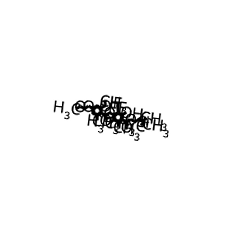 COCOc1cc(C)c(C(=O)Oc2c(C)c(C)c(C(=O)OCC[Si](C)(C)C)c(O)c2C(F)(F)F)c(OC)c1